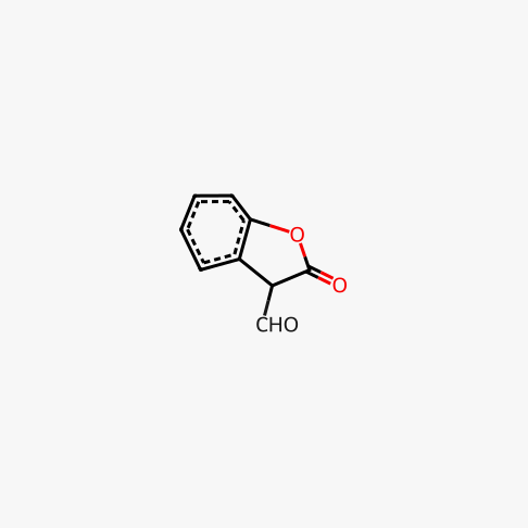 O=CC1C(=O)Oc2ccccc21